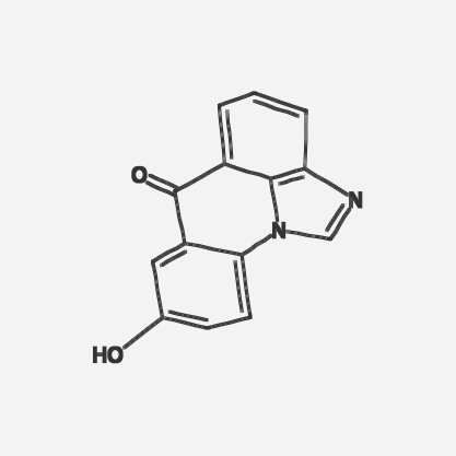 O=c1c2cc(O)ccc2n2cnc3cccc1c32